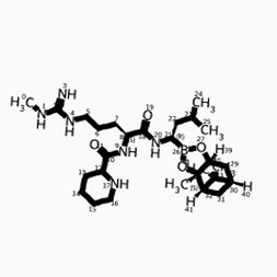 CNC(=N)NCCC[C@H](NC(=O)C1CCCCN1)C(=O)N[C@@H](CC(C)C)B1O[C@@H]2C[C@@H]3C[C@@H](C3(C)C)[C@]2(C)O1